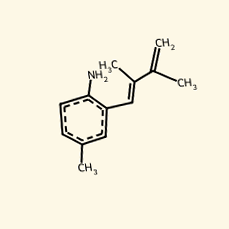 C=C(C)/C(C)=C/c1cc(C)ccc1N